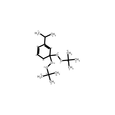 CC(C)C1=CC(OOC(C)(C)C)(OOC(C)(C)C)CC=C1